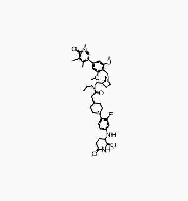 CCN(CC1CCN1Cc1c(OC)cc(-c2cn(C)c(=O)c(C)c2C)cc1OC)C(=O)CC1CCN(c2ccc(NC3CCC(=O)NC3=O)cc2F)CC1